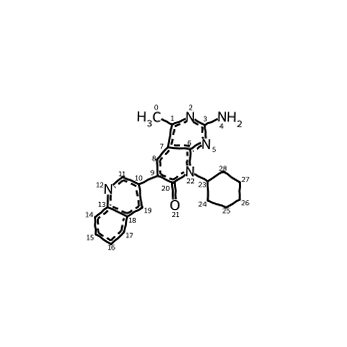 Cc1nc(N)nc2c1cc(-c1cnc3ccccc3c1)c(=O)n2C1CCCCC1